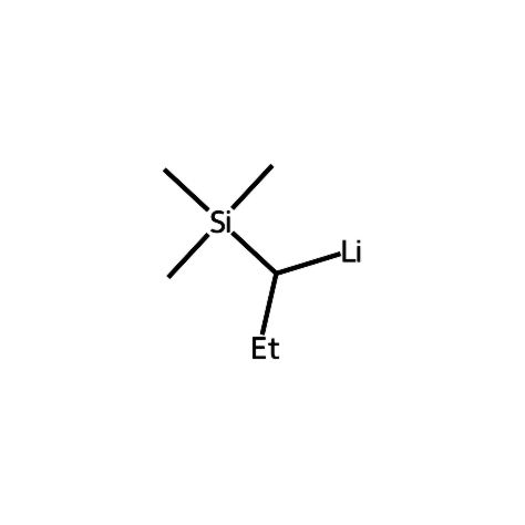 [Li][CH](CC)[Si](C)(C)C